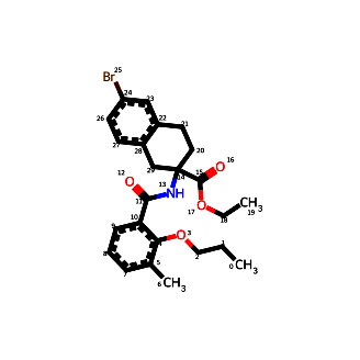 CCCOc1c(C)cccc1C(=O)NC1(C(=O)OCC)CCc2cc(Br)ccc2C1